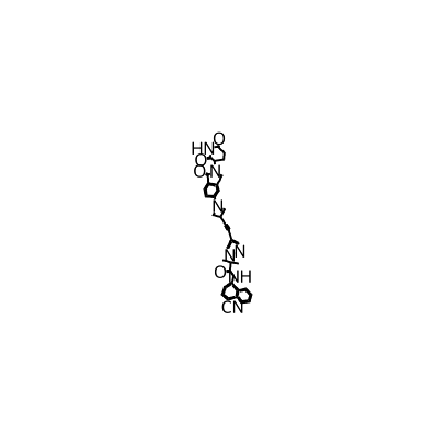 CC(C)(C(=O)Nc1ccc(C#N)c2ccccc12)n1cc(C#CC2CN(c3ccc4c(c3)CN(C3CCC(=O)NC3=O)C4=O)C2)cn1